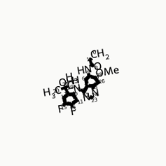 C=CC(=O)Nc1cc2c(Nc3cc(F)c(F)cc3C(C)(C)O)ncnc2cc1OC